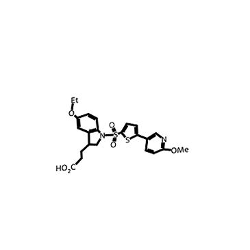 CCOc1ccc2c(c1)C(CCC(=O)O)CN2S(=O)(=O)c1ccc(-c2ccc(OC)nc2)s1